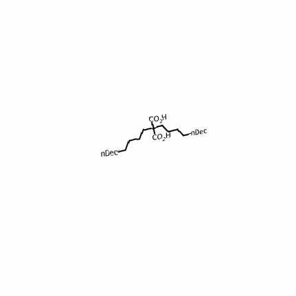 CCCCCCCCCCCCCCC(CCCCCCCCCCCCCC)(C(=O)O)C(=O)O